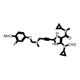 COc1ccc(OCN(C)CC#CC2NC(C(=O)N(C)C3CC3)=C(N(C=O)C3CC3)N2)cc1F